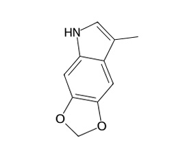 Cc1c[nH]c2cc3c(cc12)OCO3